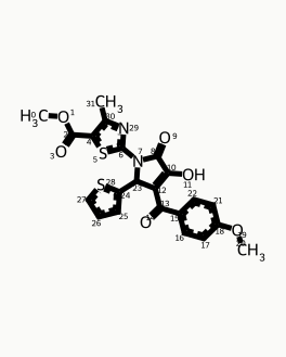 COC(=O)c1sc(N2C(=O)C(O)=C(C(=O)c3ccc(OC)cc3)C2c2cccs2)nc1C